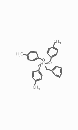 Cc1ccc([O][Hf]([CH2]c2ccccc2)([O]c2ccc(C)cc2)[O]c2ccc(C)cc2)cc1